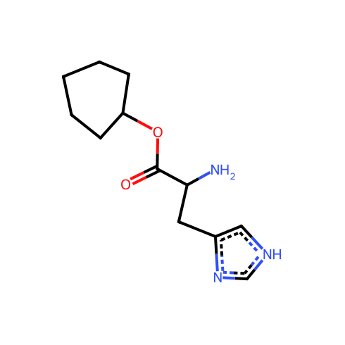 NC(Cc1c[nH]cn1)C(=O)OC1CCCCC1